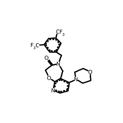 O=C1COc2nccc(N3CCOCC3)c2CN1Cc1cc(C(F)(F)F)cc(C(F)(F)F)c1